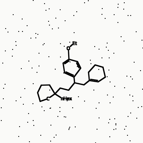 CCCCCCC1(CCC(CC2=CCCCC2)c2ccc(OCC)cc2)CCCCC1